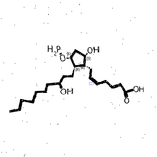 CCCCCCCC(O)CC[C@@H]1[C@@H](C/C=C\CCCC(=O)O)[C@@H](O)C[C@H]1OP